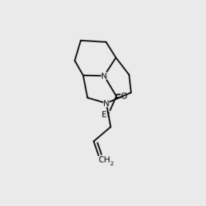 C=CCN1CCC2CCCC(C1)N2C(=O)CC